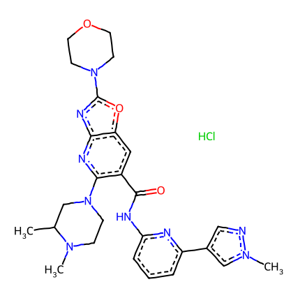 CC1CN(c2nc3nc(N4CCOCC4)oc3cc2C(=O)Nc2cccc(-c3cnn(C)c3)n2)CCN1C.Cl